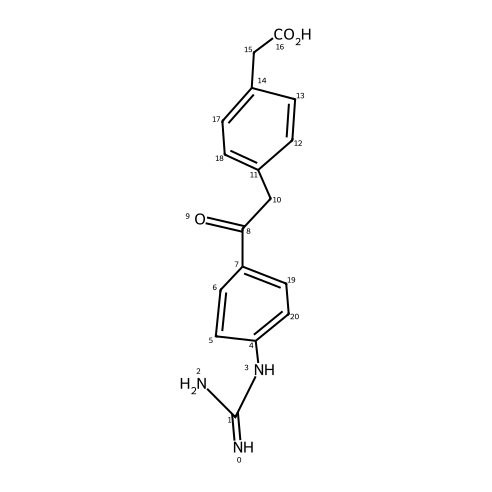 N=C(N)Nc1ccc(C(=O)Cc2ccc(CC(=O)O)cc2)cc1